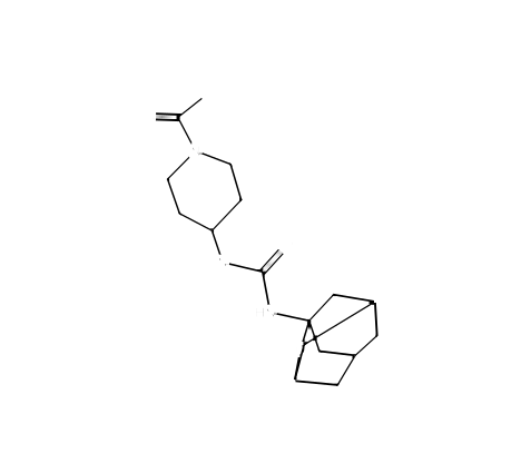 CC(=O)N1CCC(NC(=O)NC23CC4CC(CC(C4)O2)C3)CC1